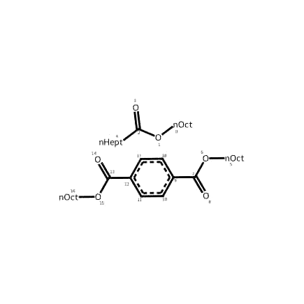 CCCCCCCCOC(=O)CCCCCCC.CCCCCCCCOC(=O)c1ccc(C(=O)OCCCCCCCC)cc1